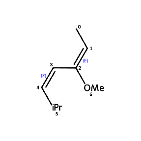 C/C=C(\C=C/C(C)C)OC